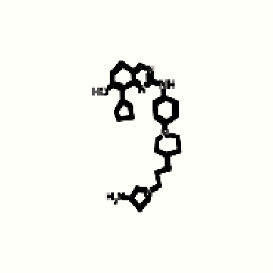 NC1CCN(CCCC2CCN(c3ccc(Nc4ncc5ccc(O)c(C6CCCC6)c5n4)cc3)CC2)C1